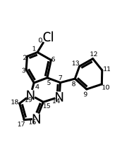 Clc1ccc2c(c1)c(C1=CCCC=C1)nc1nccn12